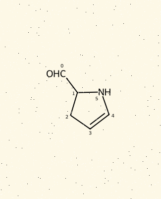 O=CC1CC=CN1